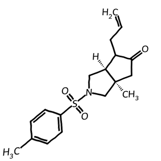 C=CCC1C(=O)C[C@@]2(C)CN(S(=O)(=O)c3ccc(C)cc3)C[C@@H]12